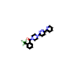 O=C(c1ccccc1C(F)(F)F)N1CCN(c2ccc(-c3ccccn3)nn2)CC1